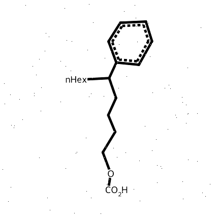 CCCCCCC(CCCCOC(=O)O)c1ccccc1